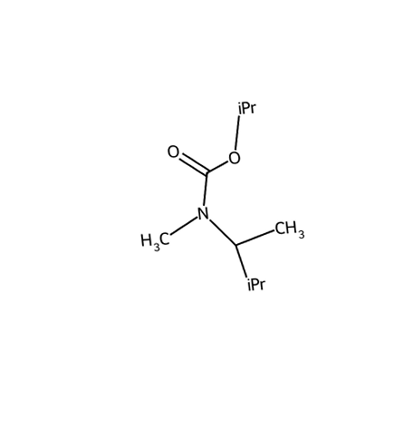 CC(C)OC(=O)N(C)C(C)C(C)C